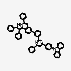 c1ccc(-c2cc(-c3ccc(-n4c5ccccc5c5ccccc54)cc3)nc(-c3cccc(-c4ccc5c(c4)cc(-c4ccccc4)n4nc(-c6ccccc6)c(-c6ccccc6)c54)c3)n2)cc1